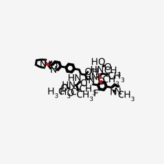 COC(=O)NC(C(=O)NC(Cc1ccc(-c2ccc(N3CC4CCC(C3)N4C3COC3)nc2)cc1)C(O)CN(Cc1c(F)cc(-c2ccn(C)n2)cc1F)NC(=O)C(NC(=O)O)C(C)(C)C)C(C)(C)C